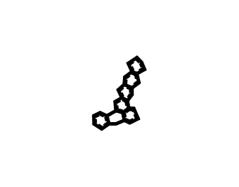 c1ccc2c(c1)Cc1cccc3c1c-2cc1cc2cc4ccccc4cc2cc13